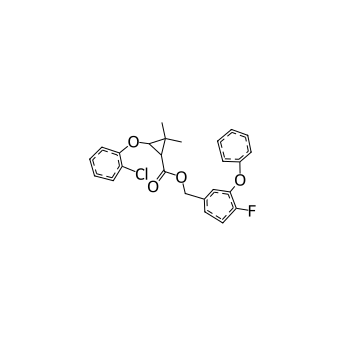 CC1(C)C(Oc2ccccc2Cl)C1C(=O)OCc1ccc(F)c(Oc2ccccc2)c1